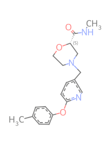 CNC(=O)[C@@H]1CN(Cc2ccc(Oc3ccc(C)cc3)nc2)CCO1